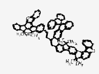 CC1(C)c2cc(CC(CCc3ccc4c(c3)C(C)(C)c3c5c(c6oc7ccccc7c6c3-4)-c3ccccc3C5(C)C)c3ccc4c(c3)C3(c5ccccc5-c5ccccc53)c3ccccc3-4)ccc2-c2cc3c(cc21)-c1c(ccc2oc4ccccc4c12)C3(C)C